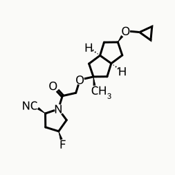 C[C@@]1(OCC(=O)N2C[C@@H](F)C[C@H]2C#N)C[C@H]2C[C@@H](OC3CC3)C[C@H]2C1